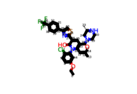 CCOc1ccc(Cl)c(N2C(C=C(C)C)=C(C(=O)N3CCN[C@@H](C)C3)C=C(c3nc(-c4ccc(C(F)(F)F)cc4)cs3)C2O)c1